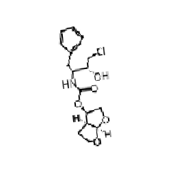 O=C(N[C@@H](Cc1ccccc1)[C@@H](O)CCl)O[C@H]1CO[C@H]2OCC[C@H]21